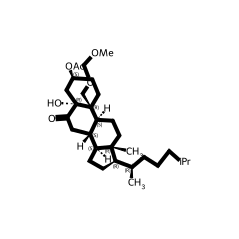 COCOC[C@]12CC[C@H](OC(C)=O)C[C@]1(O)C(=O)C[C@H]1[C@@H]3CC[C@H]([C@H](C)CCCC(C)C)[C@@]3(C)CC[C@@H]12